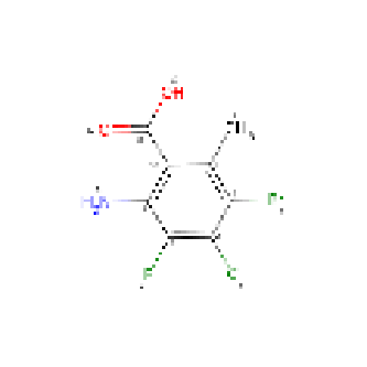 Cc1c(Br)c(Cl)c(F)c(N)c1C(=O)O